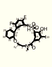 C[C@H]1CN(C)C(=O)c2cc(I)c(O)c(c2)S(=O)(=O)Nc2cc(c(F)cc2F)-c2ccccc2O1